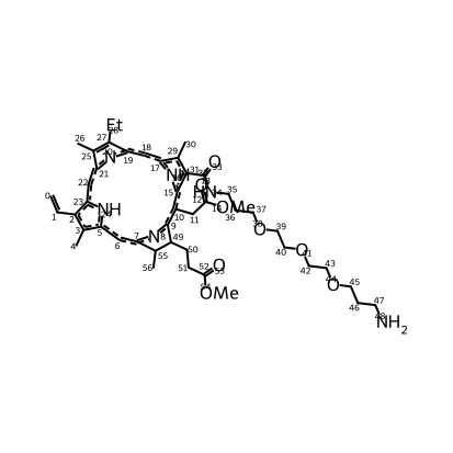 C=Cc1c(C)c2cc3nc(c(CC(=O)OC)c4[nH]c(cc5nc(cc1[nH]2)C(C)=C5CC)c(C)c4C(=O)NCCCOCCOCCOCCCN)C(CCC(=O)OC)C3C